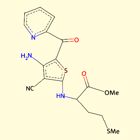 COC(=O)C(CCSC)Nc1sc(C(=O)c2ccccn2)c(N)c1C#N